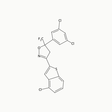 FC(F)(F)C1(c2cc(Cl)cc(Cl)c2)CC(c2cc3c(Cl)cccc3s2)=NO1